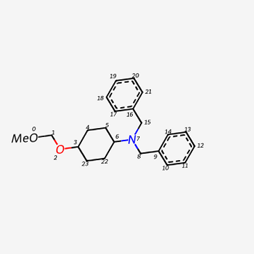 COCOC1CCC(N(Cc2ccccc2)Cc2ccccc2)CC1